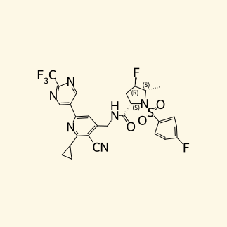 C[C@H]1[C@H](F)C[C@@H](C(=O)NCc2cc(-c3cnc(C(F)(F)F)nc3)nc(C3CC3)c2C#N)N1S(=O)(=O)c1ccc(F)cc1